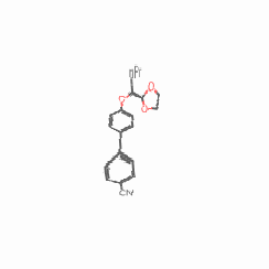 CCCC(Oc1ccc(-c2ccc(C#N)cc2)cc1)C1OCCO1